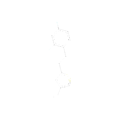 Cc1csc(CCc2ccc(F)cc2F)c1